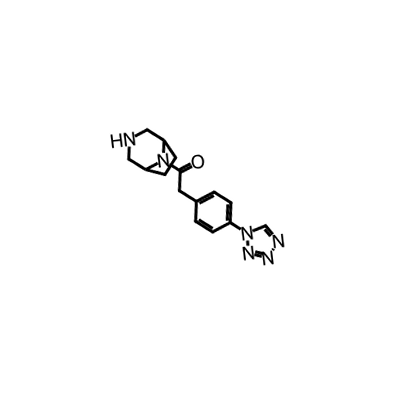 O=C(Cc1ccc(-n2cnnn2)cc1)N1C2CCC1CNC2